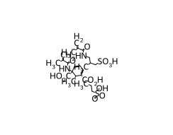 C=C(C)C(=O)NC1(C(=O)O)C=CC=C(C(=O)O)C1C.C=C(C)C(=O)NCC(C)CS(=O)(=O)O.CCCS(=O)(=O)O